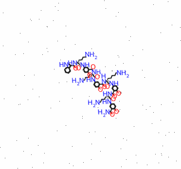 COc1ccc(NC(=O)[C@H](CCCCN)NC(=O)c2cc(NC(=O)[C@H](CCCCCN)NC(=O)c3cc(NC(=O)[C@H](CCCCN)NC(=O)c4cc(NC(=O)[C@H](CCCCN)NC(=O)c5c[nH]c6ccccc56)ccc4OC)ccc3OC)ccc2OC)cc1C(N)=O